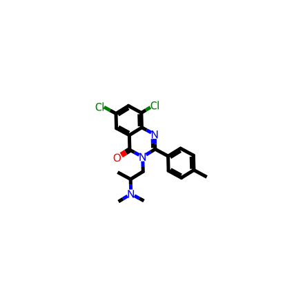 Cc1ccc(-c2nc3c(Cl)cc(Cl)cc3c(=O)n2CC(C)N(C)C)cc1